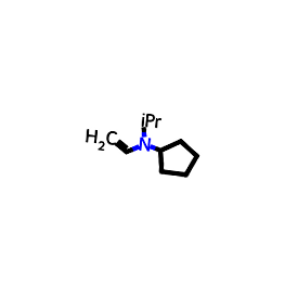 C=CN(C(C)C)C1CCCC1